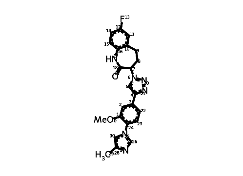 COc1cc(-c2cn(C3CCc4cc(F)ccc4NC3=O)nn2)ccc1-n1cnc(C)c1